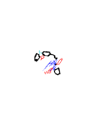 O=C(NCC=Cc1ccc(F)c(Oc2ccccc2)c1)N(O)C1CCCCC1